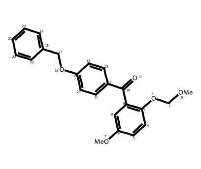 COCOc1ccc(OC)cc1C(=O)c1ccc(OCc2ccccc2)cc1